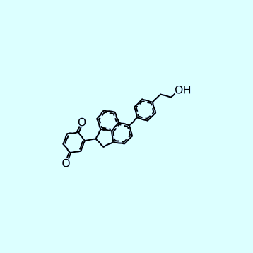 O=C1C=CC(=O)C(C2Cc3ccc(-c4ccc(CCO)cc4)c4cccc2c34)=C1